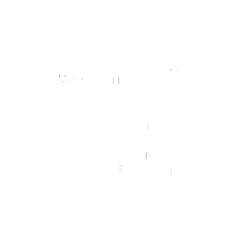 C1CCOC1.COC.FB(F)F